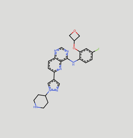 Fc1ccc(Nc2ncnc3ccc(-c4cnn(C5CCNCC5)c4)nc23)c(OC2COC2)c1